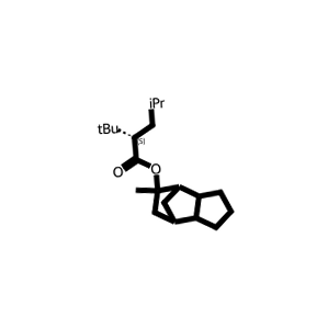 CC(C)C[C@H](C(=O)OC1(C)CC2CC1C1CCCC21)C(C)(C)C